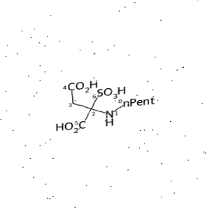 CCCCCNC(CC(=O)O)(C(=O)O)S(=O)(=O)O